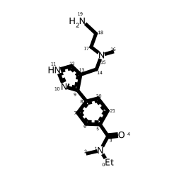 CCN(C)C(=O)c1ccc(-c2n[nH]cc2CN(C)CCN)cc1